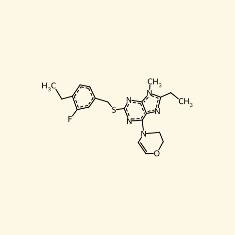 CCc1ccc(CSc2nc(N3C=COCC3)c3nc(CC)n(C)c3n2)cc1F